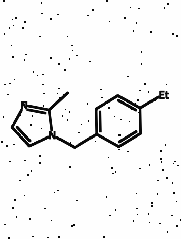 CCc1ccc(Cn2ccnc2C)cc1